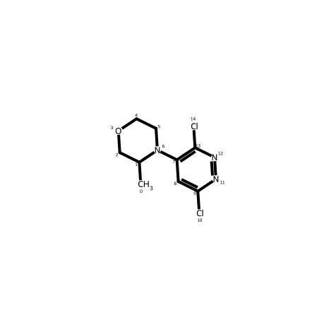 CC1COCCN1c1cc(Cl)nnc1Cl